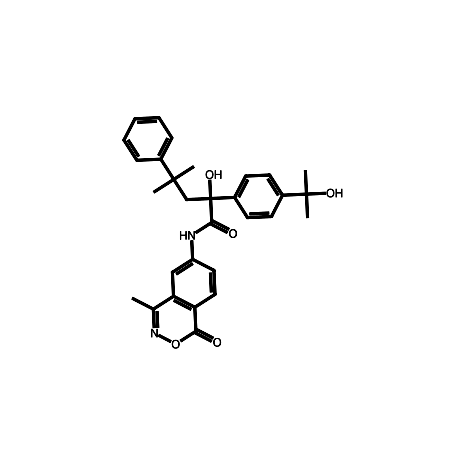 Cc1noc(=O)c2ccc(NC(=O)C(O)(CC(C)(C)c3ccccc3)c3ccc(C(C)(C)O)cc3)cc12